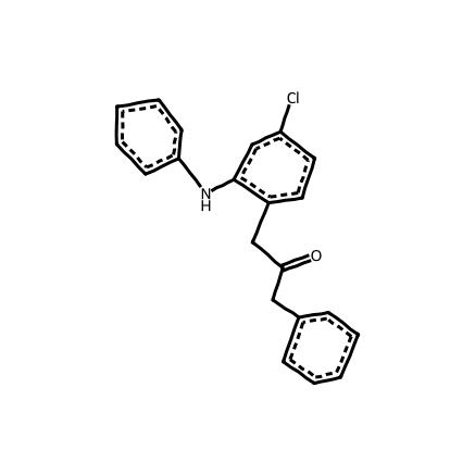 O=C(Cc1ccccc1)Cc1ccc(Cl)cc1Nc1ccccc1